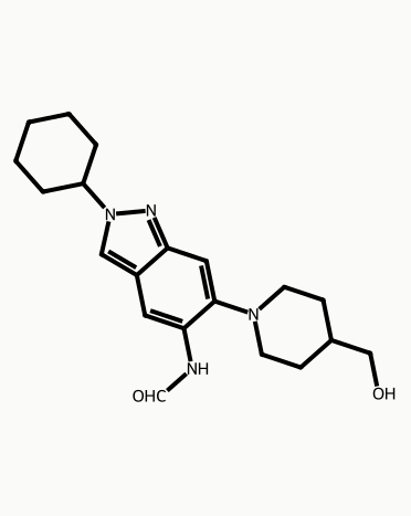 O=CNc1cc2cn(C3CCCCC3)nc2cc1N1CCC(CO)CC1